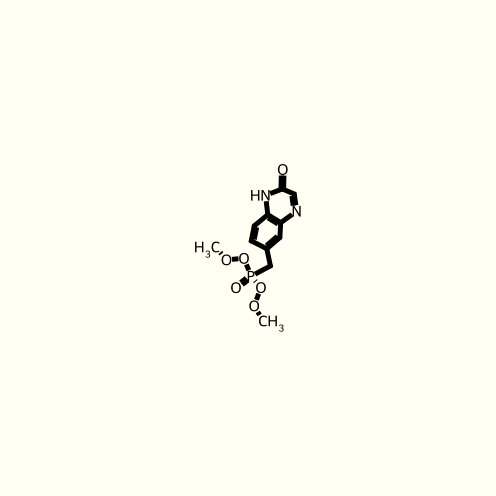 COOP(=O)(Cc1ccc2[nH]c(=O)cnc2c1)OOC